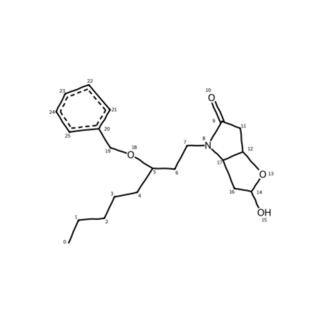 CCCCCC(CCN1C(=O)CC2OC(O)CC21)OCc1ccccc1